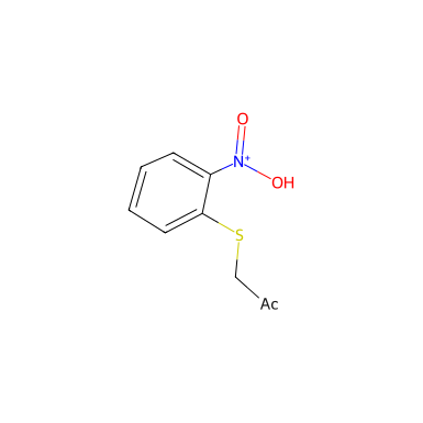 CC(=O)CSc1ccccc1[N+](=O)O